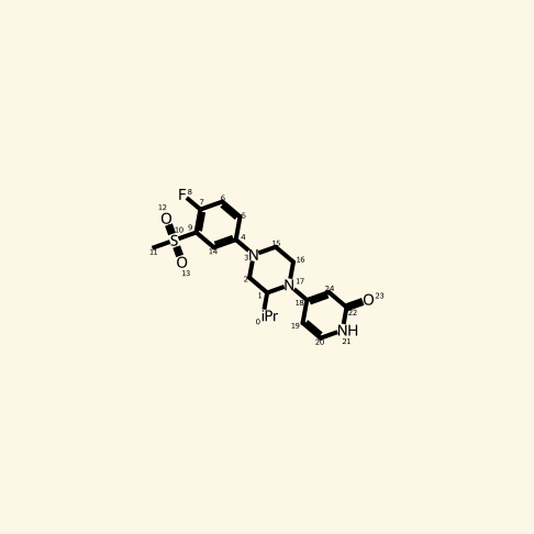 CC(C)C1CN(c2ccc(F)c(S(C)(=O)=O)c2)CCN1c1cc[nH]c(=O)c1